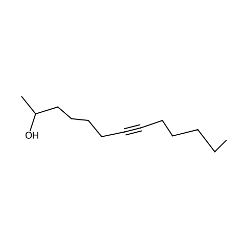 CCCCCC#CCCCCC(C)O